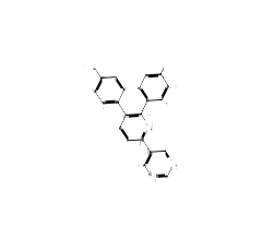 Clc1ccc(-c2ccc(-c3cncnc3)nc2-c2ccc(Cl)cc2)cc1